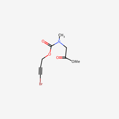 COC(=O)CN(C)C(=O)OCC#CBr